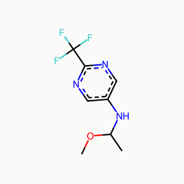 COC(C)Nc1cnc(C(F)(F)F)nc1